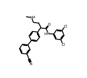 CNCCC(C(=O)Nc1cc(Cl)cc(Cl)c1)c1ccc(-c2cccc(C#N)c2)cc1